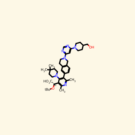 Cc1nc(C)c([C@H](OC(C)(C)C)C(=O)O)c(N2CCC(C)(C)CC2)c1-c1ccc2c(c1)CCN(c1cc(N3CCC(CO)CC3)ncn1)C2